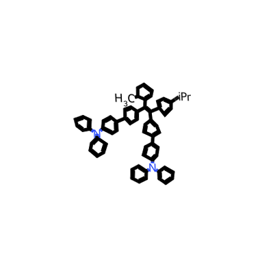 CC1CC=CC=C1/C(=C(/c1ccc(-c2ccc(N(c3ccccc3)c3ccccc3)cc2)cc1)c1ccc(C(C)C)cc1)c1ccc(-c2ccc(N(c3ccccc3)c3ccccc3)cc2)cc1